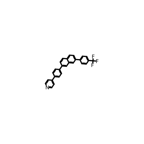 FC(F)(F)c1ccc(-c2ccc3ccc(-c4ccc(-c5ccncc5)cc4)cc3c2)cc1